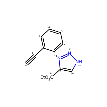 C#Cc1ccccc1.CCOC(=O)c1c[nH]nn1